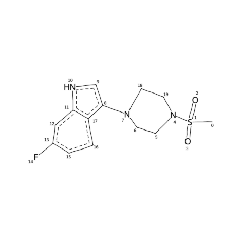 CS(=O)(=O)N1CCN(c2c[nH]c3cc(F)ccc23)CC1